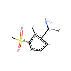 Cc1c([C@@H](C)N)cccc1S(C)(=O)=O